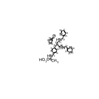 CC(NCc1ccc(CN(CCNCc2ccccn2)CCNCc2ccccn2)cc1)C(=O)O.O=c1c2ccsc12